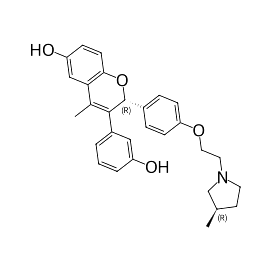 CC1=C(c2cccc(O)c2)[C@@H](c2ccc(OCCN3CC[C@@H](C)C3)cc2)Oc2ccc(O)cc21